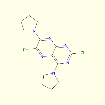 Clc1nc(N2CCCC2)c2nc(Cl)c(N3CCCC3)nc2n1